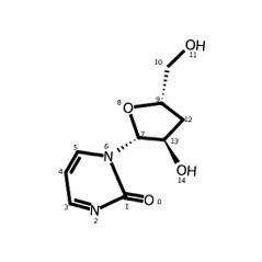 O=c1ncccn1[C@@H]1O[C@H](CO)C[C@H]1O